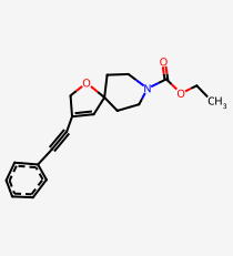 CCOC(=O)N1CCC2(C=C(C#Cc3ccccc3)CO2)CC1